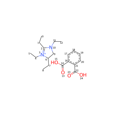 CCC1=[N+](CC)C(CC)CN1CC.O=C(O)c1ccccc1C(=O)O